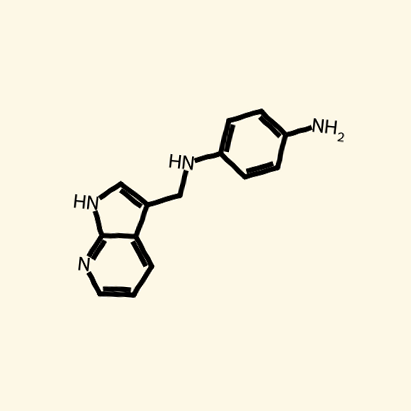 Nc1ccc(NCc2c[nH]c3ncccc23)cc1